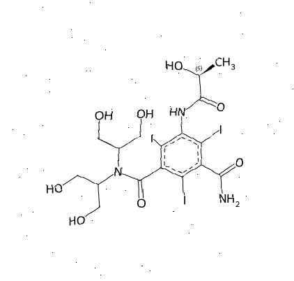 C[C@H](O)C(=O)Nc1c(I)c(C(N)=O)c(I)c(C(=O)N(C(CO)CO)C(CO)CO)c1I